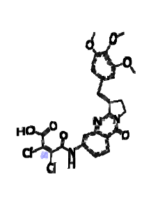 COc1cc(C=C2CCn3c2nc2cc(NC(=O)/C(Cl)=C(/Cl)C(=O)O)ccc2c3=O)cc(OC)c1OC